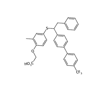 Cc1cc(SC(Cc2ccccc2)c2ccc(-c3ccc(C(F)(F)F)cc3)cc2)ccc1OCC(=O)O